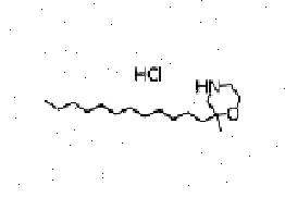 CCCCCCCCCCCCC1(C)CNCCO1.Cl